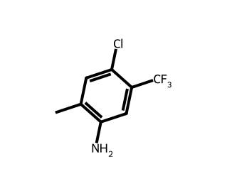 Cc1cc(Cl)c(C(F)(F)F)cc1N